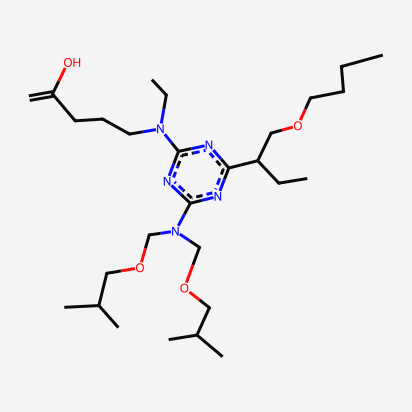 C=C(O)CCCN(CC)c1nc(C(CC)COCCCC)nc(N(COCC(C)C)COCC(C)C)n1